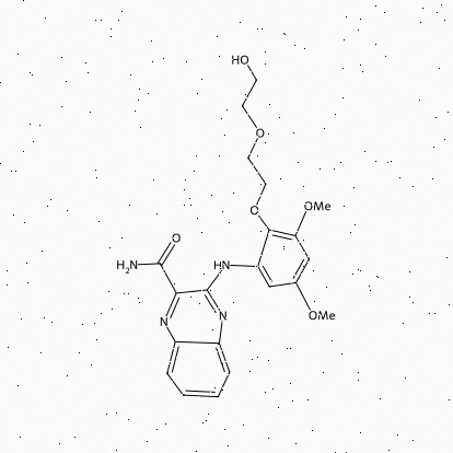 COc1cc(Nc2nc3ccccc3nc2C(N)=O)c(OCCOCCO)c(OC)c1